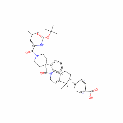 C=C(/C=C\C(=C/C)C(=O)O)[C@H]1CC[C@]2(C)CN(C(=O)C3(c4ccccc4)CCN(C(=O)[C@@H](CC(C)C)NC(=O)OC(C)(C)C)CC3)CC=C2C1(C)C